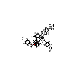 COc1ccc(CN(Cc2ccc(OC)cc2)S(=O)(=O)c2c(S(=O)(=O)NC3CCN(C(=O)O)C3)ccc(I)c2-c2nnn(Cc3ccc(OC)cc3)n2)cc1